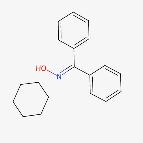 C1CCCCC1.ON=C(c1ccccc1)c1ccccc1